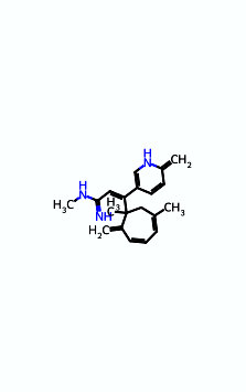 C=C1C=CC(/C(=C/C(=N)NC)C2(C)CC(C)=CC=CC2=C)=CN1